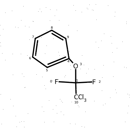 FC(F)(Oc1ccccc1)C(Cl)(Cl)Cl